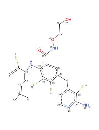 C=C(F)/C(=C\C=C(C)C)Nc1c(C(=O)NOCCO)cc(Cc2ccnc(N)c2F)c(F)c1F